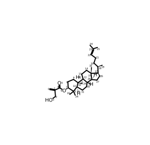 C=C(CO)C(=O)O[C@H]1CC[C@]2(C)[C@H]3CC[C@]4(C)[C@@H]([C@H](C)CCC=C(C)C)CC[C@H]4[C@@H]3CC[C@H]2C1(C)C